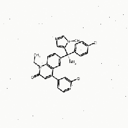 CCn1c(=O)cc(-c2cccc(Cl)c2)c2cc([C@](N)(c3ccc(Cl)cc3)c3cncn3C)ccc21